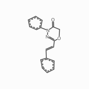 O=C1COC(C=Cc2ccccc2)=NN1c1ccccc1